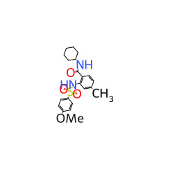 COc1ccc(S(=O)(=O)Nc2cc(C)ccc2C(=O)NC2CCCCC2)cc1